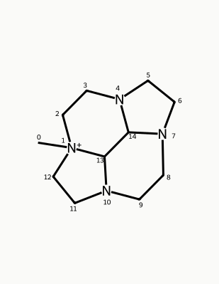 C[N+]12CCN3CCN4CCN(CC1)C2C43